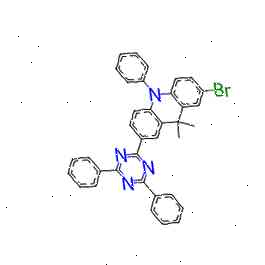 CC1(C)c2cc(Br)ccc2N(c2ccccc2)c2ccc(-c3nc(-c4ccccc4)nc(-c4ccccc4)n3)cc21